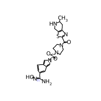 CC1Cc2nc(C(=O)N3CCN(S(=O)(=O)n4cc5ccc(/C(N)=N\O)cc5c4)CC3)sc2CN1